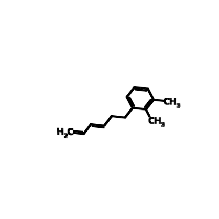 C=CC=CCCc1cccc(C)c1C